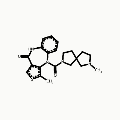 Cc1scc2c1N(C(=O)N1CCC3(CCN(C)C3)C1)c1ccccc1NC2=O